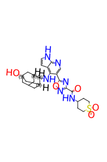 O=C(NC1CCS(=O)(=O)CC1)c1noc(-c2cnc3[nH]ccc3c2N[C@H]2[C@@H]3CC4C[C@H]2C[C@@](O)(C4)C3)n1